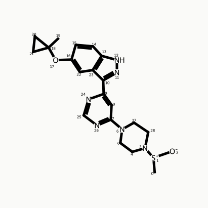 C[S+]([O-])N1CCN(c2cc(-c3n[nH]c4ccc(OC5(C)CC5)cc34)ncn2)CC1